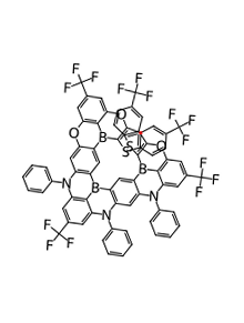 FC(F)(F)c1cc2c3c(c1)Oc1c(sc4ccc(C(F)(F)F)cc14)B3c1cc3c(cc1O2)N(c1ccccc1)c1cc(C(F)(F)F)cc2c1B3c1cc3c(cc1N2c1ccccc1)N(c1ccccc1)c1cc(C(F)(F)F)cc2c1B3c1sc3ccc(C(F)(F)F)cc3c1O2